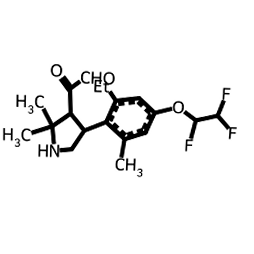 CCc1cc(OC(F)C(F)F)cc(C)c1C1CNC(C)(C)C1C(=O)C=O